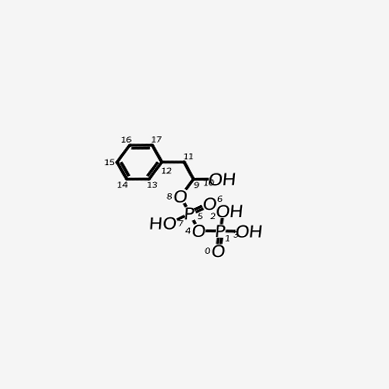 O=P(O)(O)OP(=O)(O)OC(O)Cc1ccccc1